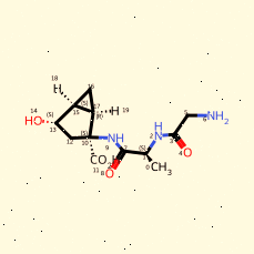 C[C@H](NC(=O)CN)C(=O)N[C@@]1(C(=O)O)C[C@H](O)[C@H]2C[C@H]21